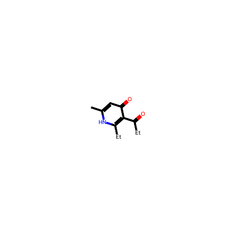 CCC(=O)c1c(CC)[nH]c(C)cc1=O